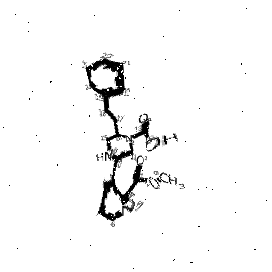 COC(=O)c1ncccc1C1CN(C(=O)O)C(CCc2ccccc2)CN1